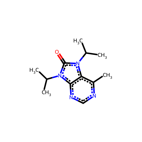 Cc1ncnc2c1n(C(C)C)c(=O)n2C(C)C